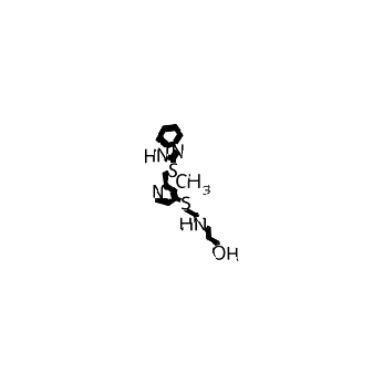 Cc1c(SCCNCCCO)ccnc1CSc1nc2ccccc2[nH]1